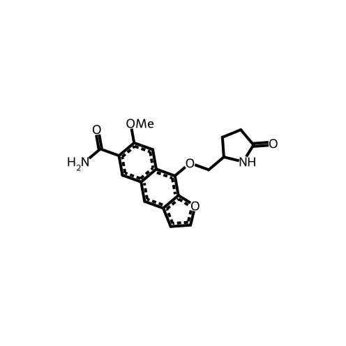 COc1cc2c(OCC3CCC(=O)N3)c3occc3cc2cc1C(N)=O